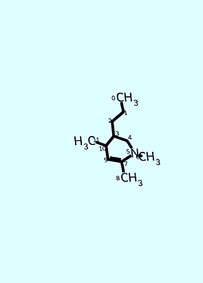 CCCC1CN(C)C(C)=CC1C